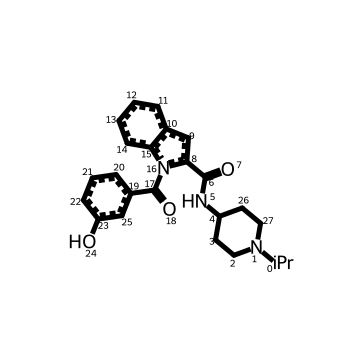 CC(C)N1CCC(NC(=O)c2cc3ccccc3n2C(=O)c2cccc(O)c2)CC1